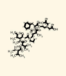 CC[C@H](C)[C@@H]([C@@H](CC(=O)N1CCC[C@H]1[C@H](OC)[C@@H](C)C(=O)N[C@@H](Cc1ccccc1)C(=O)OCCN(CC(=O)O)CC(=O)O)OC)N(C)C(=O)[C@@H](NC(=O)[C@@H](NC)C(C)C)C(C)C